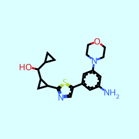 Nc1cc(-c2cnc(C3CC3C(O)C3CC3)s2)cc(N2CCOCC2)c1